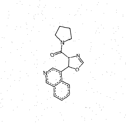 O=C(C1N=COC1c1cncc2ccccc12)N1CCCC1